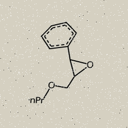 CC[CH]OCC1OC1c1ccccc1